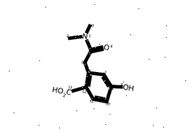 CN(C)C(=O)Cc1cc(O)ccc1C(=O)O